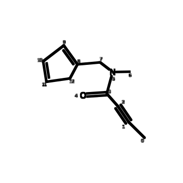 CC#CC(=O)N(C)CC1=CC=CC1